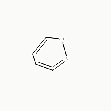 C1=CC=CON=1